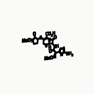 CO/N=C(\C(=O)N[C@@H]1C(=O)N2C(C(=O)O)=C(SC3CCN(OC)C3=O)CS[C@H]12)c1csc(N)n1